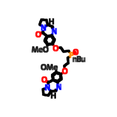 CCCCP(=O)(CCCOc1cc2c(cc1OC)C(=O)N1CCC[C@H]1C=N2)CCCOc1cc2c(cc1OC)C(=O)N1CCC[C@H]1C=N2